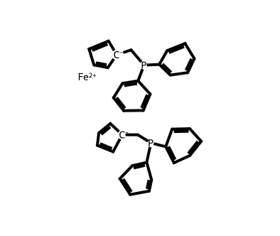 [Fe+2].c1ccc(P(C[c-]2cccc2)c2ccccc2)cc1.c1ccc(P(C[c-]2cccc2)c2ccccc2)cc1